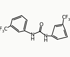 O=C(Nc1cccc(C(F)(F)F)c1)Nc1cccc(C(F)(F)F)c1